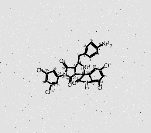 Nc1ccc(CC2NC3(C(=O)Nc4c(Cl)cc(Cl)cc43)C3C(=O)N(c4cc(Cl)cc(Cl)c4)C(=O)C23)cc1